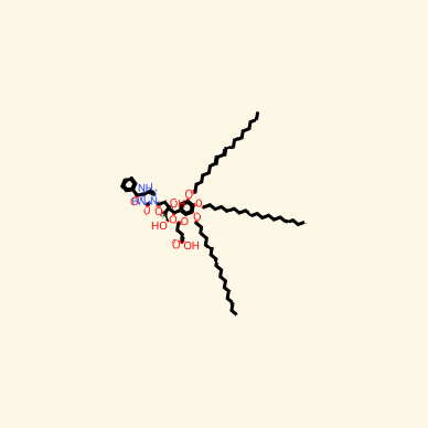 CCCCCCCCCCCCCCCCCCOc1cc(C(OC(=O)CCC(=O)O)[C@]2(O)C[C@H](N3C=CC(N)(C(=O)c4ccccc4)NC3=O)O[C@@H]2CO)cc(OCCCCCCCCCCCCCCCCCC)c1OCCCCCCCCCCCCCCCCCC